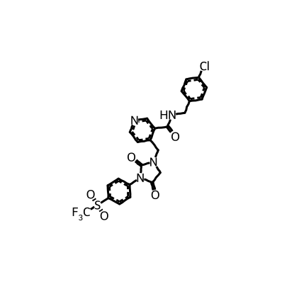 O=C(NCc1ccc(Cl)cc1)c1cnccc1CN1CC(=O)N(c2ccc(S(=O)(=O)C(F)(F)F)cc2)C1=O